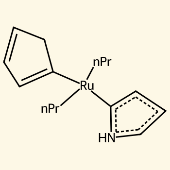 CC[CH2][Ru]([CH2]CC)([C]1=CC=CC1)[c]1ccc[nH]1